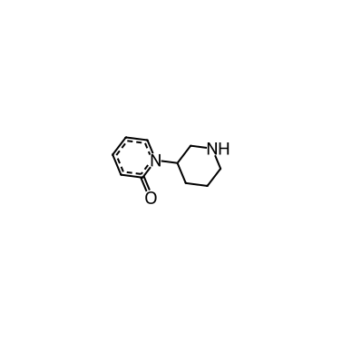 O=c1ccccn1C1CCCNC1